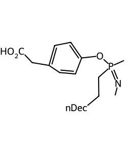 CCCCCCCCCCCCP(C)(=NC)Oc1ccc(CC(=O)O)cc1